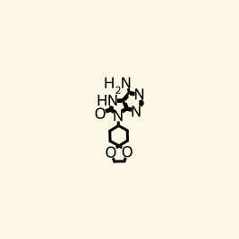 Nc1ncnc2c1[nH]c(=O)n2C1CCC2(CC1)OCCO2